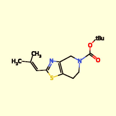 CC(C)=Cc1nc2c(s1)CCN(C(=O)OC(C)(C)C)C2